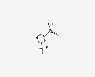 O=c1c(O)c1-c1cccc(C(F)(F)F)c1